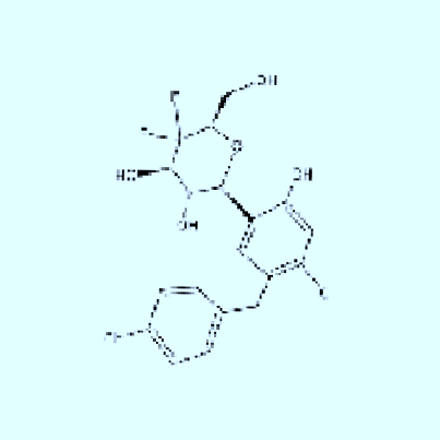 OC[C@H]1O[C@@H](c2cc(Cc3ccc(Cl)cc3)c(Cl)cc2O)[C@H](O)[C@@H](O)C1(F)F